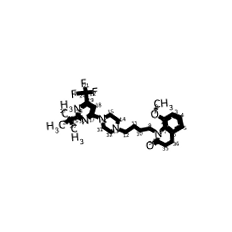 COc1cccc2c1N(CCCCN1CCN(c3cc(C(F)(F)F)nc(C(C)(C)C)n3)CC1)C(=O)CC2